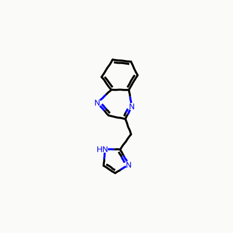 c1ccc2nc(Cc3ncc[nH]3)cnc2c1